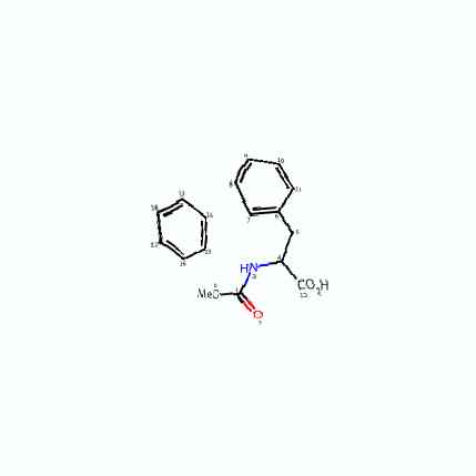 COC(=O)NC(Cc1ccccc1)C(=O)O.c1ccccc1